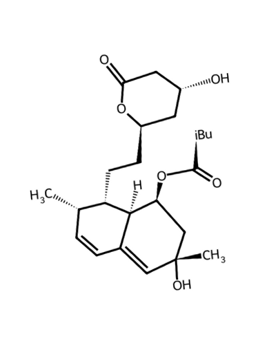 CC[C@H](C)C(=O)O[C@H]1C[C@](C)(O)C=C2C=C[C@H](C)[C@H](CC[C@@H]3C[C@@H](O)CC(=O)O3)[C@H]21